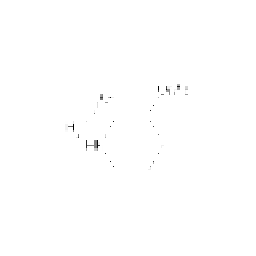 CC(C)=O.COC1CCCNC1